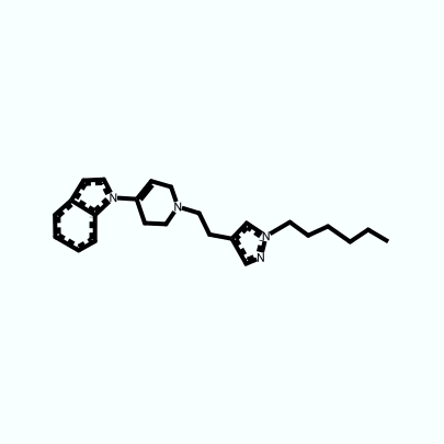 CCCCCCn1cc(CCN2CC=C(n3ccc4ccccc43)CC2)cn1